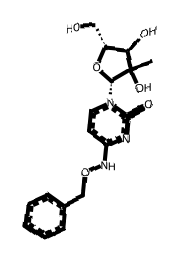 CC1(O)C(O)[C@@H](CO)O[C@H]1n1ccc(NOCc2ccccc2)nc1=O